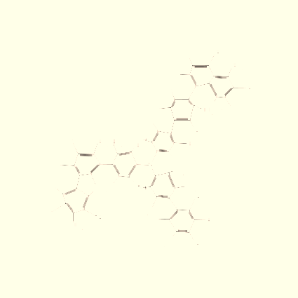 Bc1c(B)c(B)c(-c2c(B)c(B)c(N(c3c(B)c(B)c(-c4c(B)c(B)c(-c5c(B)c(B)c(B)c6c(B)c(B)c(B)c(B)c56)c(B)c4B)c(B)c3B)c3c(B)c(B)c(-c4c(B)c(B)c(B)c5c4oc4c(B)c(B)c(B)c(B)c45)c(B)c3B)c(B)c2B)c(B)c1B